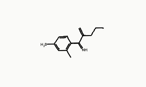 Bc1ccc(C(=N)C(=C)CCC)c(C)c1